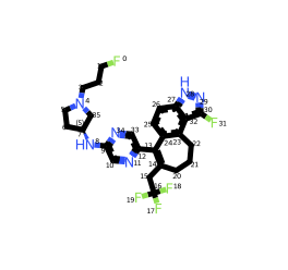 FCCCN1CC[C@H](Nc2cnc(C3=C(CC(F)(F)F)CCCc4c3ccc3[nH]nc(F)c43)cn2)C1